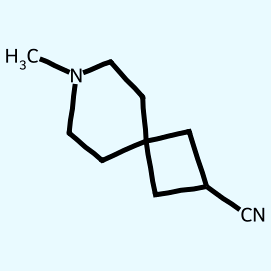 CN1CCC2(CC1)CC(C#N)C2